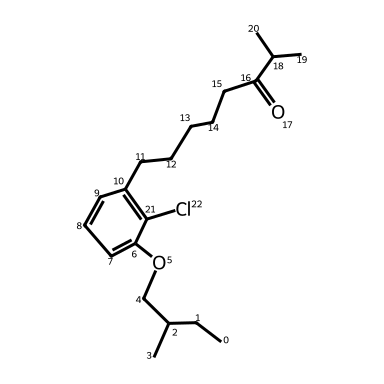 CCC(C)COc1cccc(CCCCCC(=O)C(C)C)c1Cl